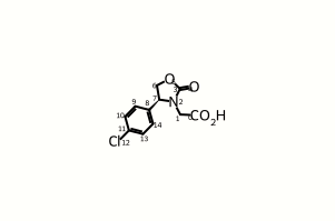 O=C(O)CN1C(=O)OC[C@@H]1c1ccc(Cl)cc1